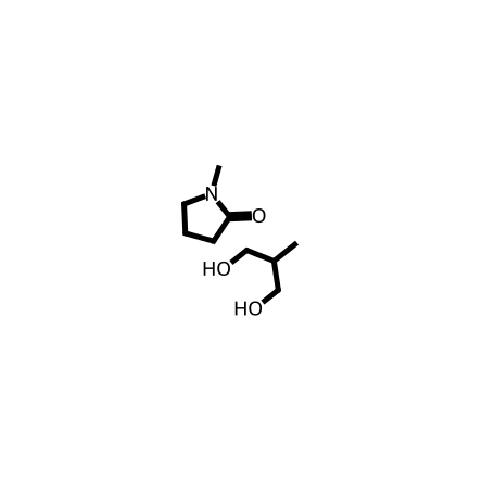 CC(CO)CO.CN1CCCC1=O